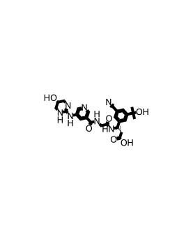 CC(C)(O)c1cc(C#N)cc([C@H](CC(=O)O)NC(=O)CNC(=O)c2cncc(NC3=NCC(O)CN3)c2)c1